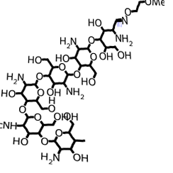 COCCO/N=C/C(N)C(O)C(OC1OC(CO)C(OC2OC(CO)C(OC3OC(CO)C(OC4OC(CO)C(OC5OC(CO)C(C)C(O)C5N)C(O)C4NC(C)=O)C(O)C3N)C(O)C2N)C(O)C1N)C(O)CO